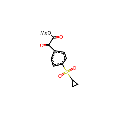 COC(=O)C(=O)c1ccc(S(=O)(=O)C2CC2)cc1